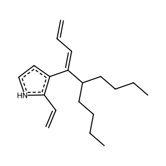 C=C/C=C(\c1cc[nH]c1C=C)C(CCCC)CCCC